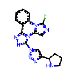 Fc1ncc2n1c1ccccc1c1nnc(-n3cc(C4CCCN4)nn3)n12